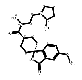 COc1ccc2c(c1)C(=O)O[C@]21CC[C@H](C(=O)N(C)CCN2CCC[C@H]2C)CC1